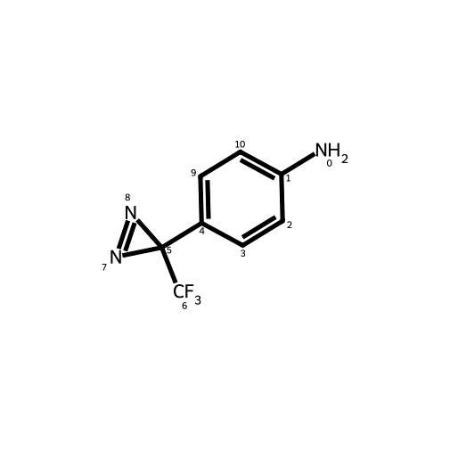 Nc1ccc(C2(C(F)(F)F)N=N2)cc1